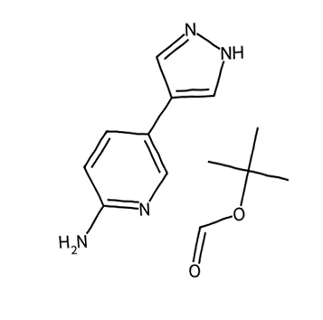 CC(C)(C)OC=O.Nc1ccc(-c2cn[nH]c2)cn1